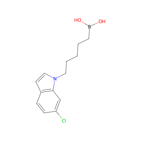 OB(O)CCCCCn1ccc2ccc(Cl)cc21